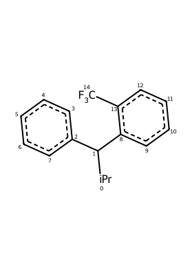 CC(C)C(c1ccccc1)c1ccccc1C(F)(F)F